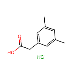 Cc1cc(C)cc(CC(=O)O)c1.Cl